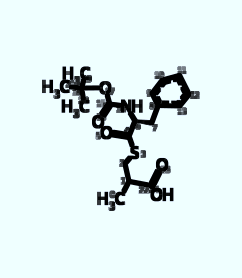 CC(CSC(=O)[C@H](Cc1ccccc1)NC(=O)OC(C)(C)C)C(=O)O